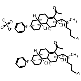 CC(C)CCC[C@@H](C)[C@H]1CC(=O)C2=C3CC[C@H]4C[C@@H]([n+]5ccccc5)CC[C@]4(C)C3CC[C@@]21C.CC(C)CCC[C@@H](C)[C@H]1CC(=O)C2=C3CC[C@H]4C[C@@H]([n+]5ccccc5)CC[C@]4(C)C3CC[C@@]21C.O=S(=O)([O-])[O-]